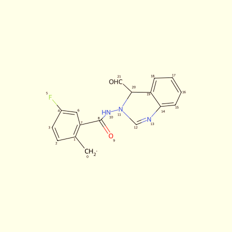 [CH2]c1ccc(F)cc1C(=O)NN1C=Nc2ccccc2C1C=O